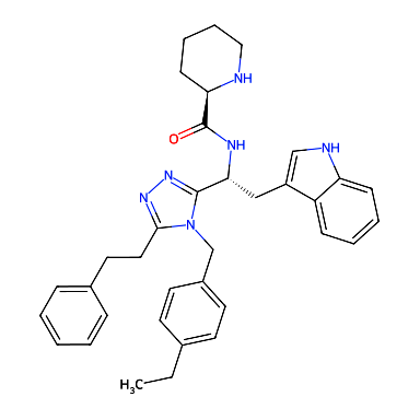 CCc1ccc(Cn2c(CCc3ccccc3)nnc2[C@@H](Cc2c[nH]c3ccccc23)NC(=O)[C@H]2CCCCN2)cc1